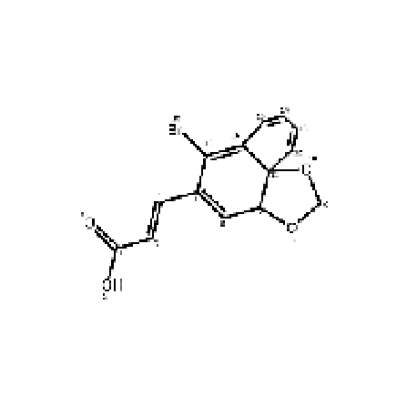 O=C(O)/C=C/C1=CC2OCOC23C=CC=CC3=C1Br